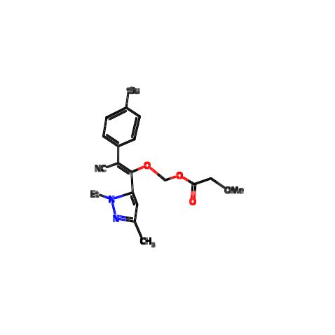 CCn1nc(C)cc1/C(OCOC(=O)COC)=C(\C#N)c1ccc(C(C)(C)C)cc1